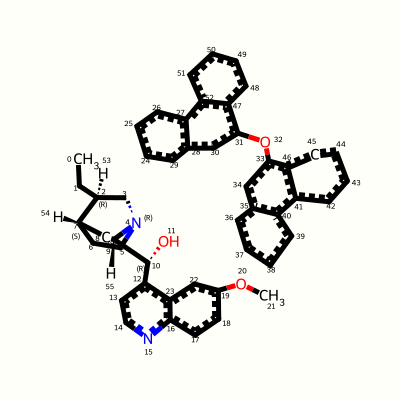 CC[C@H]1C[N@]2CC[C@H]1C[C@H]2[C@H](O)c1ccnc2ccc(OC)cc12.c1ccc2c(c1)cc(Oc1cc3ccccc3c3ccccc13)c1ccccc12